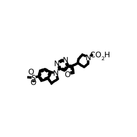 CS(=O)(=O)c1ccc2c(c1)CCN2c1ncnc2c(C3CCN(C(=O)O)CC3)coc12